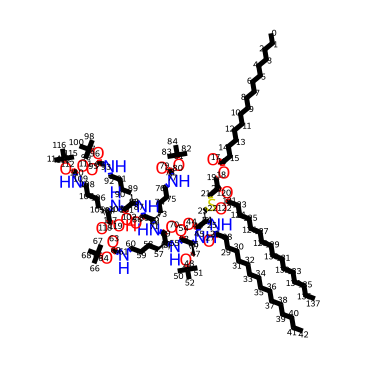 CCCCCCCCCCCCCCCCC(=O)OCC(CSC[C@H](NC(=O)CCCCCCCCCCCCCCC)C(=O)N[C@@H](COC(C)(C)C)C(=O)N[C@@H](CCCCNC(=O)OC(C)(C)C)C(=O)N[C@@H](CCCCNC(=O)OC(C)(C)C)C(=O)N[C@@H](CCCCNC(=O)OC(C)(C)C)C(=O)N[C@@H](CCCCNC(=O)OC(C)(C)C)C(=O)O)OC(=O)CCCCCCCCCCCCCCC